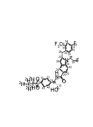 [2H]C([2H])([2H])C([2H])([2H])S(=O)(=O)c1ccc([C@@H](CO)NC(=O)c2ccc3c(c2)cc(Cc2ccc(F)cc2C(F)(F)F)n3CCF)cc1